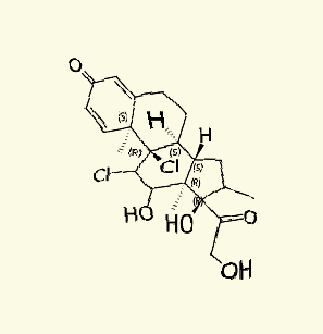 CC1C[C@H]2[C@@H]3CCC4=CC(=O)C=C[C@]4(C)[C@@]3(Cl)C(Cl)C(O)[C@]2(C)[C@@]1(O)C(=O)CO